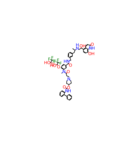 CC(Cc1cccc(CNC(=O)c2cccc(N(C)C(=O)CCN3CCC(OC(=O)Nc4ccccc4-c4ccccc4)CC3)c2)c1)NC[C@H](O)c1ccc(O)c2[nH]c(=O)ccc12.O=C(O)C(F)(F)F.O=C(O)C(F)(F)F